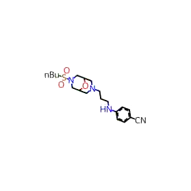 CCCCS(=O)(=O)N1CC2CN(CCCNc3ccc(C#N)cc3)CC(C1)O2